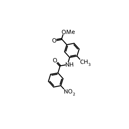 COC(=O)c1ccc(C)c(NC(=O)c2cccc([N+](=O)[O-])c2)c1